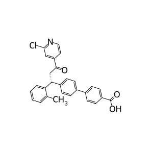 Cc1ccccc1[C@H](CC(=O)c1ccnc(Cl)c1)c1ccc(-c2ccc(C(=O)O)cc2)cc1